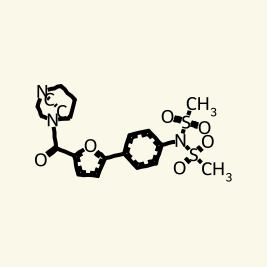 CS(=O)(=O)N(c1ccc(-c2ccc(C(=O)N3CCN4CCC3CC4)o2)cc1)S(C)(=O)=O